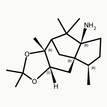 C[C@@H]1CC[C@@]2(N)C(C)(C)C3C[C@@]12C[C@@H]1OC(C)(C)O[C@]31C